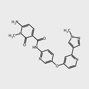 Cn1cc(-c2cc(Oc3ccc(NC(=O)c4ccc(N)n(C)c4=O)nc3)ccn2)cn1